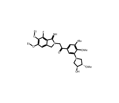 CCOc1cc2c(c(F)c1OCC)C(=N)N(CC(=O)c1cc(N3C[C@H](OC)[C@@H](O)C3)c(OC)c(C(C)(C)C)c1)C2